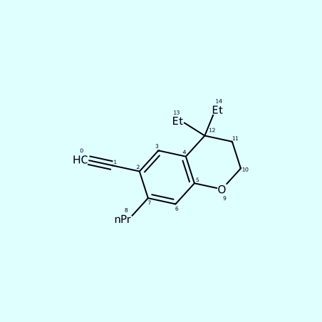 C#Cc1cc2c(cc1CCC)OCCC2(CC)CC